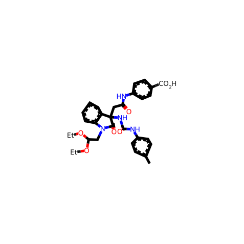 CCOC(CN1C(=O)C(CC(=O)Nc2ccc(C(=O)O)cc2)(NC(=O)Nc2ccc(C)cc2)c2ccccc21)OCC